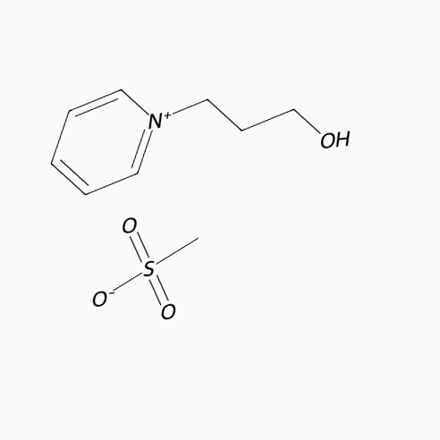 CS(=O)(=O)[O-].OCCC[n+]1ccccc1